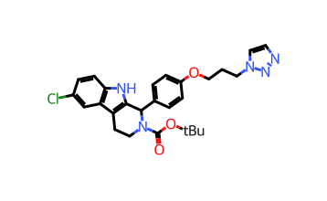 CC(C)(C)OC(=O)N1CCc2c([nH]c3ccc(Cl)cc23)C1c1ccc(OCCCn2ccnn2)cc1